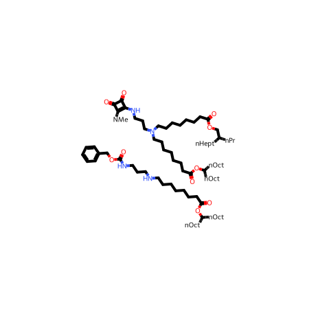 CCCCCCCCC(CCCCCCCC)OC(=O)CCCCCCCN(CCCCCCCC(=O)OCC(CCC)CCCCCCC)CCCNc1c(NC)c(=O)c1=O.CCCCCCCCC(CCCCCCCC)OC(=O)CCCCCCCNCCCNC(=O)OCc1ccccc1